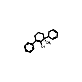 C[C@]1(C2C=CC=CC2)CCCC(c2ccccc2)=C1S